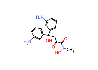 CN(O)C(=O)C(=O)CC(O)(c1cccc(N)c1)c1cccc(N)c1